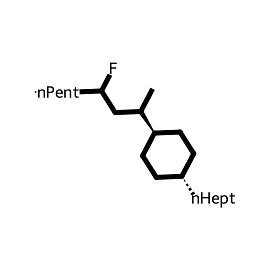 CCCC[CH]C(F)CC(C)[C@H]1CC[C@H](CCCCCCC)CC1